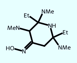 CCC1(NC)CC(=NO)C(NC)C(CC)(NC)N1